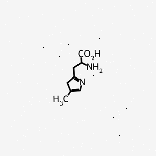 CC1=CN=C(CC(N)C(=O)O)C1